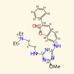 CCN(CC)CCCNc1nc(Nc2ccc3cc(-c4ccccc4)c(=O)oc3c2)nc(OC)n1